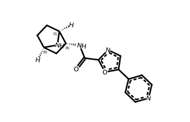 O=C(N[C@@H]1C[C@H]2CC[C@@H]1N2)c1ncc(-c2ccncc2)o1